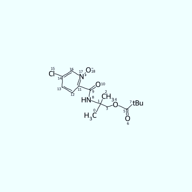 CC(C)(COC(=O)C(C)(C)C)NC(=O)c1ccc(Cl)c[n+]1[O-]